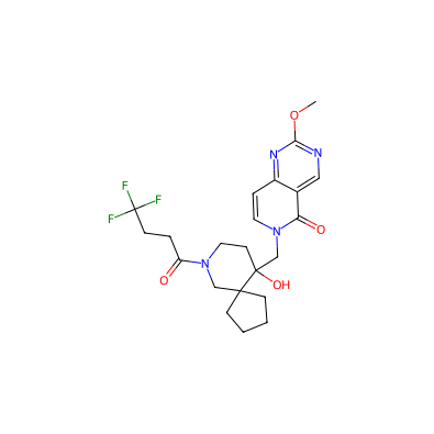 COc1ncc2c(=O)n(CC3(O)CCN(C(=O)CCC(F)(F)F)CC34CCCC4)ccc2n1